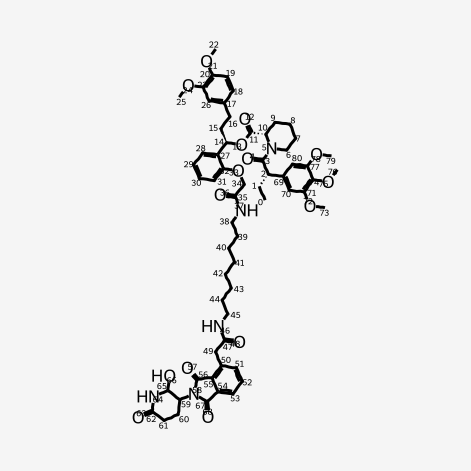 CC[C@H](C(=O)N1CCCC[C@H]1C(=O)O[C@H](CCc1ccc(OC)c(OC)c1)c1ccccc1OCC(=O)NCCCCCCCCNC(=O)Cc1cccc2c1C(=O)N(C1CCC(=O)NC1O)C2=O)c1cc(OC)c(OC)c(OC)c1